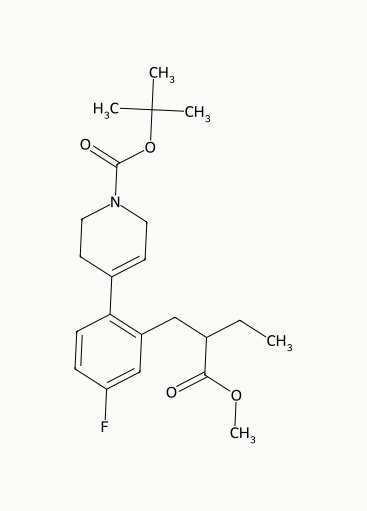 CCC(Cc1cc(F)ccc1C1=CCN(C(=O)OC(C)(C)C)CC1)C(=O)OC